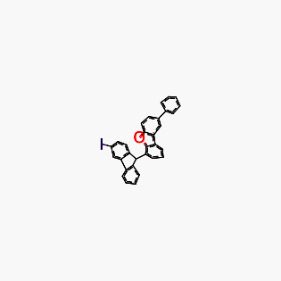 Ic1ccc2c(c1)-c1ccccc1C2c1cccc2c1oc1ccc(-c3ccccc3)cc12